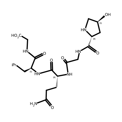 CC(C)C[C@H](NC(=O)[C@@H](CCC(N)=O)NC(=O)CNC(=O)[C@H]1C[C@H](O)CN1)C(=O)NCC(=O)O